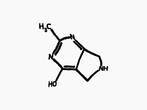 Cc1nc(O)c2c(n1)CNC2